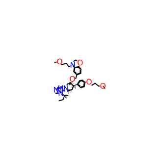 CC[C@H](C[C@H]1C[C@H](c2ccc(OCCCOC)cc2)[C@@H](OCc2ccc3c(c2)N(CCCOC)CCO3)CN1)n1cncn1